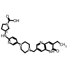 CCc1cc2ncc(CN3CCN(c4ccc(N[C@H]5CCN(C(=O)O)C5)nc4)CC3)cc2[nH]c1=O